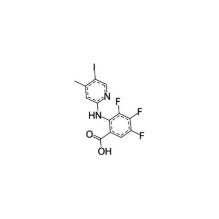 Cc1cc(Nc2c(C(=O)O)cc(F)c(F)c2F)ncc1I